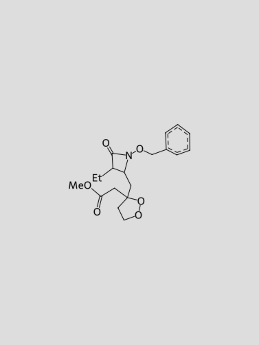 CCC1C(=O)N(OCc2ccccc2)C1CC1(CC(=O)OC)CCOO1